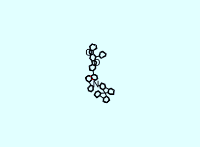 c1ccc(-c2ccccc2N(c2ccc(-c3ccc4c(c3)oc3c(-c5ccccc5)c5c(cc34)oc3ccccc35)cc2)c2ccc3c(c2)C2(c4ccccc4-c4ccccc42)c2ccccc2-3)cc1